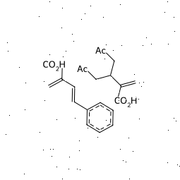 C=C(C(=O)O)C(CC(C)=O)CC(C)=O.C=C(C=Cc1ccccc1)C(=O)O